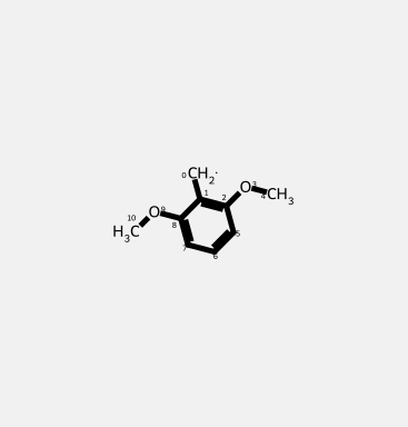 [CH2]c1c(OC)cccc1OC